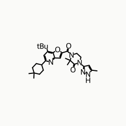 Cc1cc(N2CCN(C(=O)c3cc4nc(C5CCC(C)(C)CC5)cc(C(C)(C)C)c4o3)C(C)(C)C2=O)n[nH]1